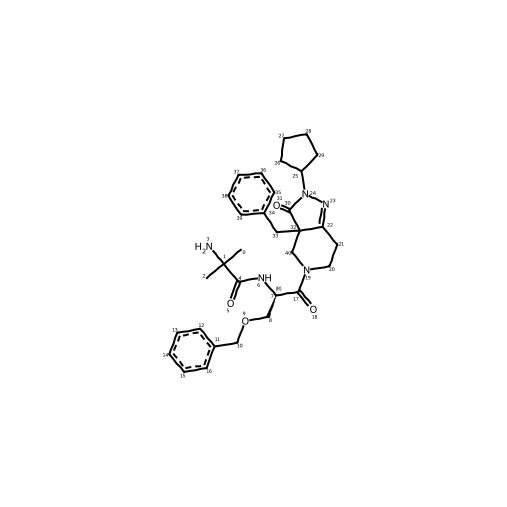 CC(C)(N)C(=O)N[C@H](COCc1ccccc1)C(=O)N1CCC2=NN(C3CCCC3)C(=O)C2(Cc2ccccc2)C1